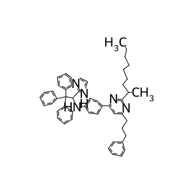 CCCCCCCC(C)c1nc(CCCc2ccccc2)cc(-c2ccc(NC(c3ncc[nH]3)C(c3ccccc3)(c3ccccc3)c3ccccc3)cc2)n1